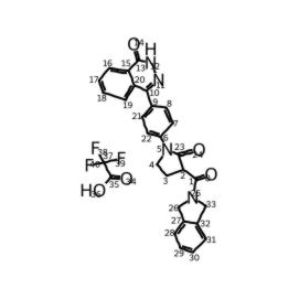 O=C(C1CCN(c2ccc(-c3n[nH]c(=O)c4ccccc34)cc2)C1=O)N1Cc2ccccc2C1.O=C(O)C(F)(F)F